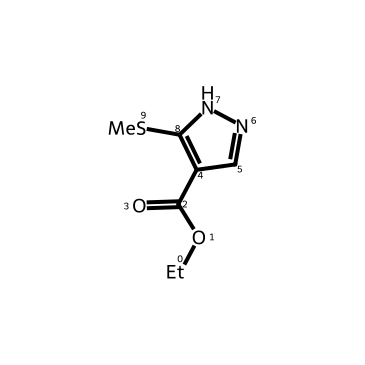 CCOC(=O)c1cn[nH]c1SC